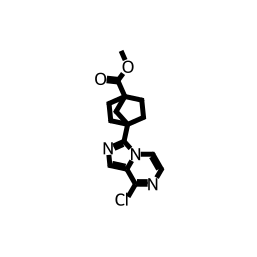 COC(=O)C12CCC(c3ncc4c(Cl)nccn34)(CC1)C2